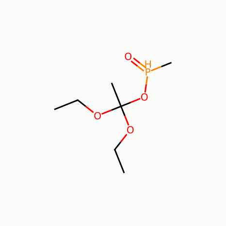 CCOC(C)(OCC)O[PH](C)=O